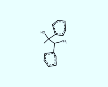 CC(O)(c1ccccc1)C(N)c1ccccc1